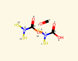 C=O.O=C(O)N(S)S.O=C(O)N(S)S